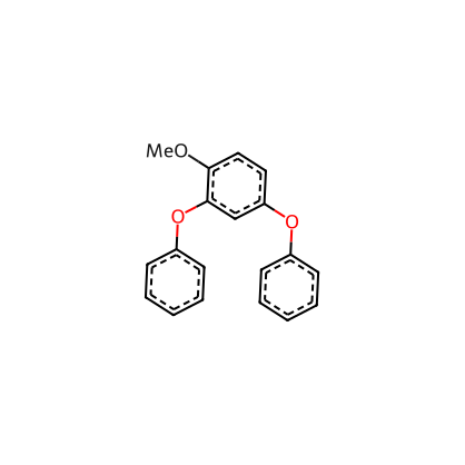 [CH2]Oc1ccc(Oc2ccccc2)cc1Oc1ccccc1